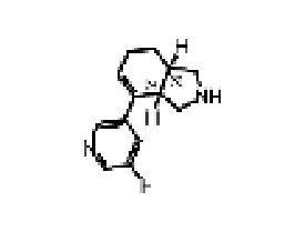 Fc1cncc(C2=CCC[C@@H]3CNC[C@H]23)c1